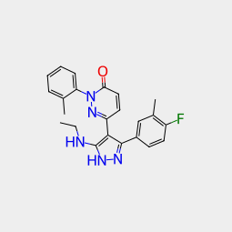 CCNc1[nH]nc(-c2ccc(F)c(C)c2)c1-c1ccc(=O)n(-c2ccccc2C)n1